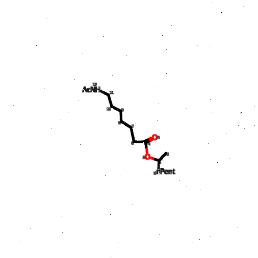 CCCCCC(C)OC(=O)CCCCCCNC(C)=O